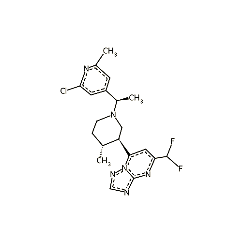 Cc1cc([C@@H](C)N2CC[C@@H](C)[C@H](c3cc(C(F)F)nc4ncnn34)C2)cc(Cl)n1